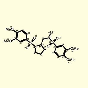 CCN(C[C@H]1CCCN1S(=O)(=O)c1ccc(OC)c(OC)c1)S(=O)(=O)c1ccc(OC)c(OC)c1